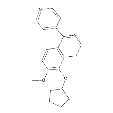 COc1ccc2c(c1OC1CCCC1)CCN=C2c1ccncc1